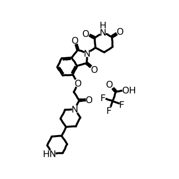 O=C(O)C(F)(F)F.O=C1CCC(N2C(=O)c3cccc(OCC(=O)N4CCC(C5CCNCC5)CC4)c3C2=O)C(=O)N1